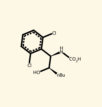 CCCC[C@@H](O)[C@H](NC(=O)O)c1c(Cl)cccc1Cl